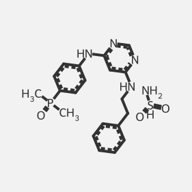 CP(C)(=O)c1ccc(Nc2cc(NCCc3ccccc3)ncn2)cc1.N[SH](=O)=O